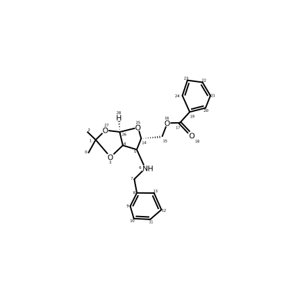 CC1(C)OC2C(NCc3ccccc3)[C@@H](COC(=O)c3ccccc3)O[C@@H]2O1